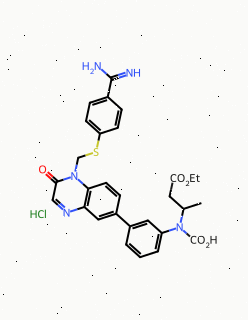 CCOC(=O)CC(C)N(C(=O)O)c1cccc(-c2ccc3c(c2)ncc(=O)n3CSc2ccc(C(=N)N)cc2)c1.Cl